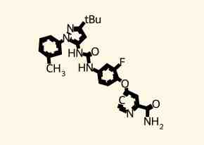 Cc1cccc(-n2nc(C(C)(C)C)cc2NC(=O)Nc2ccc(Oc3ccnc(C(N)=O)c3)c(F)c2)c1